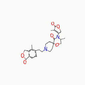 CC1=C(N2C(=O)C3(CCN(CCc4ccc5c(c4C)COC5=O)CC3)OCC2C)COC1=O